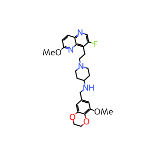 COc1ccc2ncc(F)c(CCN3CCC(NCc4cc(OC)c5c(c4)OCCO5)CC3)c2n1